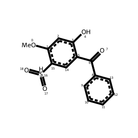 COc1cc(O)c(C(=O)c2ccccc2)cc1[SH](=O)=O